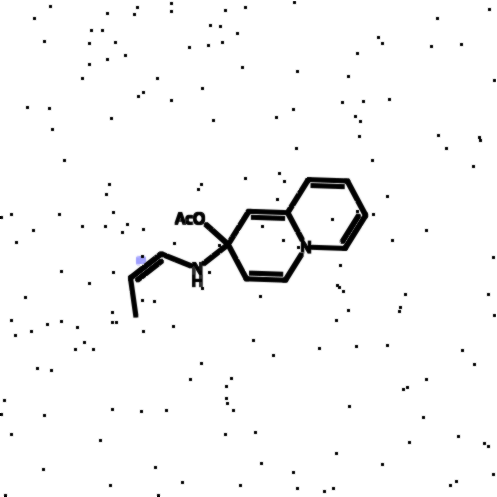 C/C=C\NC1(OC(C)=O)C=CN2C=CC=CC2=C1